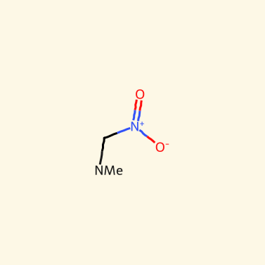 CNC[N+](=O)[O-]